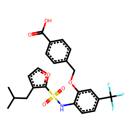 CC(C)Cc1ccoc1S(=O)(=O)Nc1ccc(C(F)(F)F)cc1OCc1ccc(C(=O)O)cc1